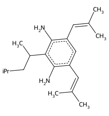 CC(C)=Cc1cc(C=C(C)C)c(N)c(C(C)CC(C)C)c1N